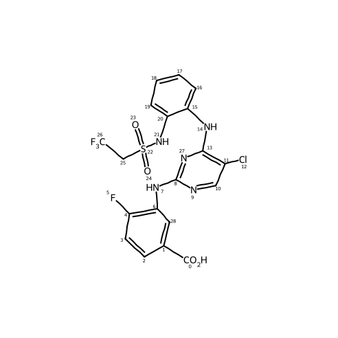 O=C(O)c1ccc(F)c(Nc2ncc(Cl)c(Nc3ccccc3NS(=O)(=O)CC(F)(F)F)n2)c1